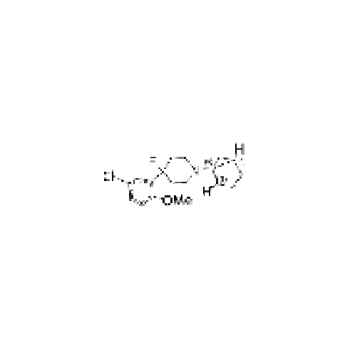 COc1ccc(Cl)cc1C1(F)CCN([C@@H]2C[C@H]3CC[C@H]2C3)CC1